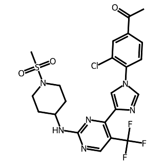 CC(=O)c1ccc(-n2cnc(-c3nc(NC4CCN(S(C)(=O)=O)CC4)ncc3C(F)(F)F)c2)c(Cl)c1